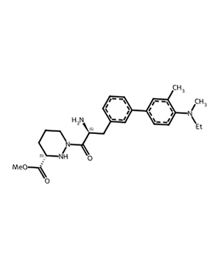 CCN(C)c1ccc(-c2cccc(C[C@H](N)C(=O)N3CCC[C@@H](C(=O)OC)N3)c2)cc1C